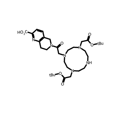 CC(C)(C)OC(=O)CN1CCNCCN(CC(=O)OC(C)(C)C)CCN(CC(=O)N2CCc3nc(C(=O)O)ccc3C2)CC1